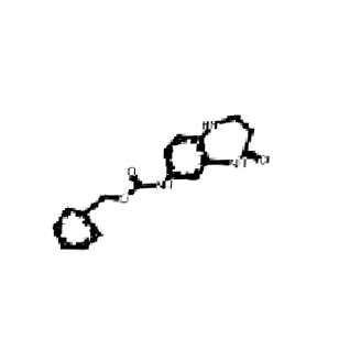 O=C1CCNc2ccc(NC(=O)OCc3ccccc3)cc2N1